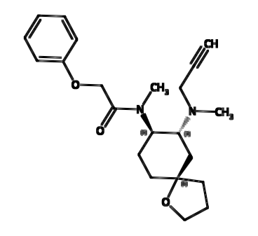 C#CCN(C)[C@@H]1C[C@]2(CCCO2)CC[C@H]1N(C)C(=O)COc1ccccc1